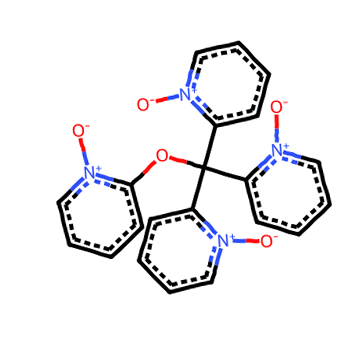 [O-][n+]1ccccc1OC(c1cccc[n+]1[O-])(c1cccc[n+]1[O-])c1cccc[n+]1[O-]